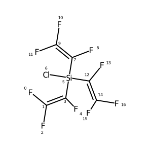 FC(F)=C(F)[Si](Cl)(C(F)=C(F)F)C(F)=C(F)F